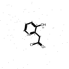 O=C(Cl)Cc1ncccc1O